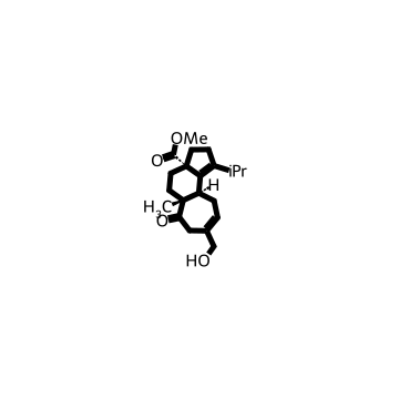 COC(=O)[C@]12CCC(C(C)C)=C1[C@H]1CC=C(CO)CC(=O)[C@]1(C)CC2